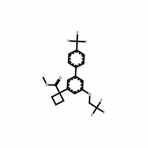 COC(=O)C1(c2cc(OCC(F)(F)F)cc(-c3ccc(C(F)(F)F)cc3)c2)CCC1